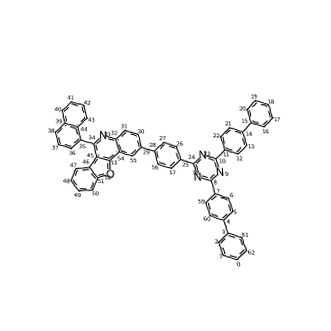 c1ccc(-c2ccc(-c3nc(-c4ccc(-c5ccccc5)cc4)nc(-c4ccc(-c5ccc6nc(-c7cccc8ccccc78)c7c8ccccc8oc7c6c5)cc4)n3)cc2)cc1